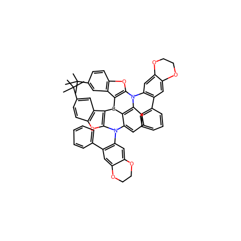 CC(C)(C)c1ccc2oc3c(c2c1)B1c2c(cccc2N(c2cc4c(cc2-c2ccccc2)OCCO4)c2oc4ccc(C(C)(C)C)cc4c21)N3c1cc2c(cc1-c1ccccc1)OCCO2